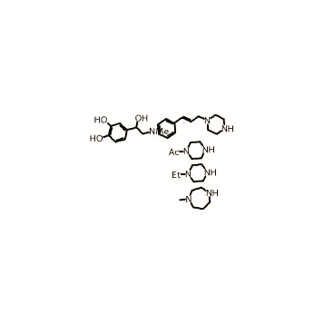 C(=C\c1ccccc1)/CN1CCNCC1.CC(=O)N1CCNCC1.CCN1CCNCC1.CN1CCCNCC1.CNCC(O)c1ccc(O)c(O)c1